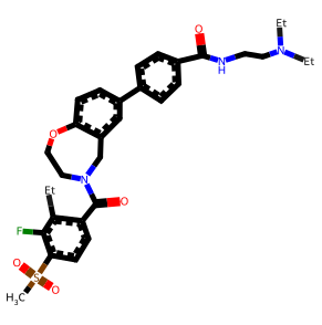 CCc1c(C(=O)N2CCOc3ccc(-c4ccc(C(=O)NCCN(CC)CC)cc4)cc3C2)ccc(S(C)(=O)=O)c1F